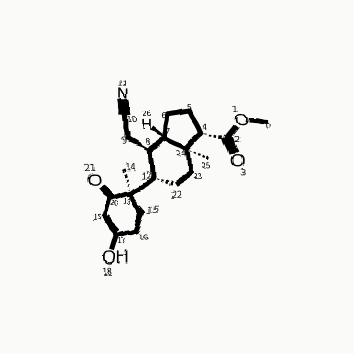 COC(=O)[C@H]1CC[C@H]2[C@H](CC#N)[C@@H]([C@@]3(C)CCC(O)=CC3=O)CC[C@]12C